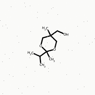 CC(C)C1(C)OCC(C)(CO)CO1